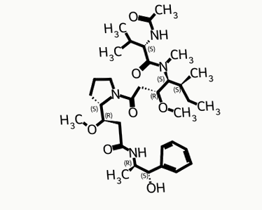 CC[C@H](C)[C@@H]([C@@H](CC(=O)N1CCC[C@H]1[C@@H](CC(=O)N[C@H](C)[C@@H](O)c1ccccc1)OC)OC)N(C)C(=O)[C@@H](NC(C)=O)C(C)C